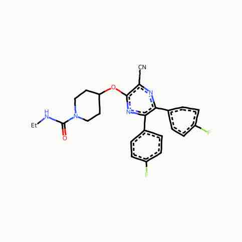 CCNC(=O)N1CCC(Oc2nc(-c3ccc(F)cc3)c(-c3ccc(F)cc3)nc2C#N)CC1